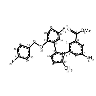 COC(=O)c1cc(N)cc(-n2c(C)ccc2-c2cc(F)ccc2OCc2ccc(F)cc2)c1